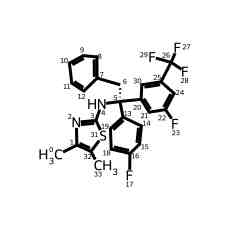 Cc1nc(N[C@](Cc2ccccc2)(c2ccc(F)cc2)c2cc(F)cc(C(F)(F)F)c2)sc1C